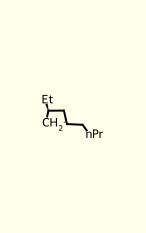 [CH2][C@@H](CC)CCCCCC